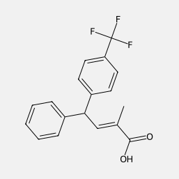 C/C(=C\C(c1ccccc1)c1ccc(C(F)(F)F)cc1)C(=O)O